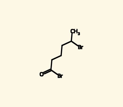 CC(Br)CCCC(=O)Br